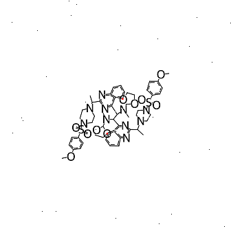 COc1ccc(S(=O)(=O)N2CCN(C(C)c3nc(C(C(c4nc(C(C)N5CCN(S(=O)(=O)c6ccc(OC)cc6)CC5)nc5ccccc45)N(C)C4OCCO4)N(C)C4OCCO4)c4ccccc4n3)CC2)cc1